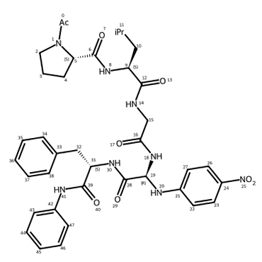 CC(=O)N1CCC[C@H]1C(=O)N[C@@H](CC(C)C)C(=O)NCC(=O)N[C@@H](Nc1ccc([N+](=O)[O-])cc1)C(=O)N[C@@H](Cc1ccccc1)C(=O)Nc1ccccc1